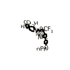 CCCOc1ccc(-c2ccc(C(Oc3cc(N4CCC5(CC4)CN[C@H](C(=O)O)C5)nc(N)n3)C(F)(F)F)cc2)cc1